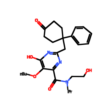 CCCCOc1c(O)nc(CC2(c3ccccc3)CCC(=O)CC2)nc1C(=O)N(CCO)C(C)C